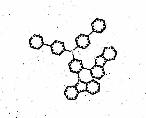 c1ccc(-c2ccc(N(c3ccc(-c4ccccc4)cc3)c3ccc(-n4c5ccccc5c5ccccc54)c(-c4cccc5c4oc4ccccc45)c3)cc2)cc1